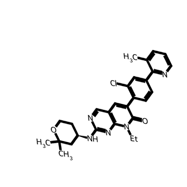 CCn1c(=O)c(-c2ccc(-c3ncccc3C)cc2Cl)cc2cnc(N[C@@H]3CCOC(C)(C)C3)nc21